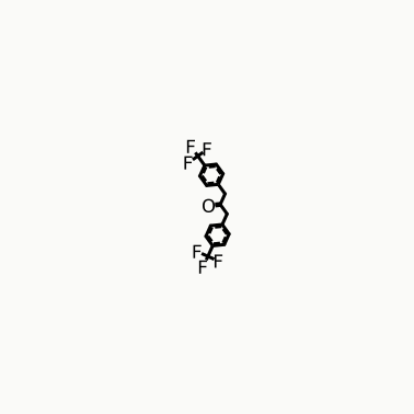 O=C(Cc1ccc(C(F)(F)F)cc1)Cc1ccc(C(F)(F)F)cc1